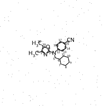 Cc1nc(N(CC2CCCCC2)c2ccc(C#N)cc2)oc1C